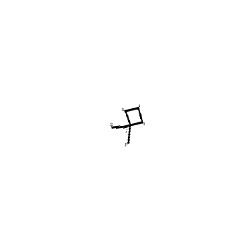 CC1(C)CCC1